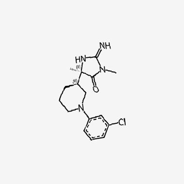 CN1C(=N)N[C@](C)([C@@H]2CCCN(c3cccc(Cl)c3)C2)C1=O